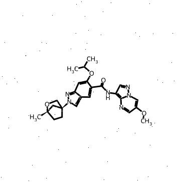 COc1cnc2c(NC(=O)c3cc4cn([C@@]56CC[C@@](C)(C5)OC6)nc4cc3OC(C)C)cnn2c1